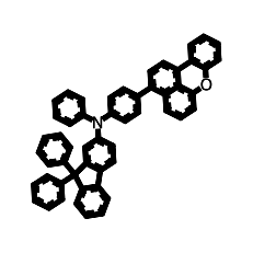 c1ccc(N(c2ccc(-c3ccc4c5c(cccc35)Oc3ccccc3-4)cc2)c2ccc3c(c2)C(c2ccccc2)(c2ccccc2)c2ccccc2-3)cc1